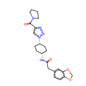 O=C(Cc1ccc2c(c1)OCO2)N[C@H]1CC[C@@H](n2cc(C(=O)N3CCCC3)nn2)CC1